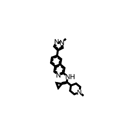 CN1CCC(C(Nc2cc3cc(-c4cnn(C)c4)ccc3cn2)=C2CC2)CC1